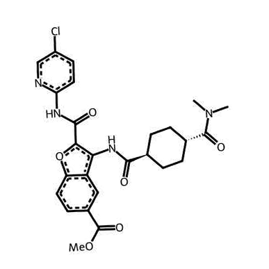 COC(=O)c1ccc2oc(C(=O)Nc3ccc(Cl)cn3)c(NC(=O)[C@H]3CC[C@H](C(=O)N(C)C)CC3)c2c1